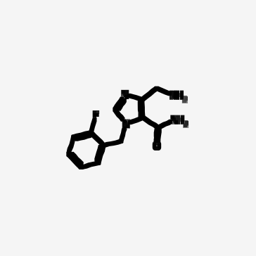 NCc1ncn(Cc2ccccc2F)c1C(N)=O